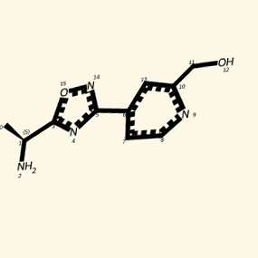 C[C@H](N)c1nc(-c2ccnc(CO)c2)no1